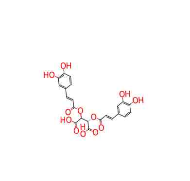 O=C(C=Cc1ccc(O)c(O)c1)O[C@H](C(=O)O)[C@H](OC(=O)C=Cc1ccc(O)c(O)c1)C(=O)O